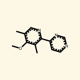 COc1c(C)[c]nc(-c2ccncn2)c1C